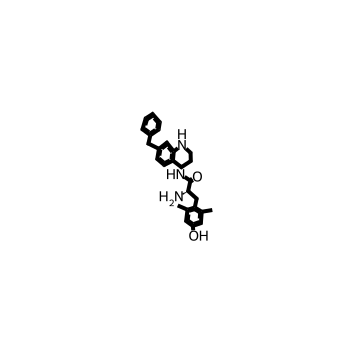 Cc1cc(O)cc(C)c1C[C@H](N)C(=O)N[C@H]1CCNc2cc(Cc3ccccc3)ccc21